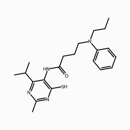 CCCN(CCCC(=O)Nc1c(S)nc(C)nc1C(C)C)c1ccccc1